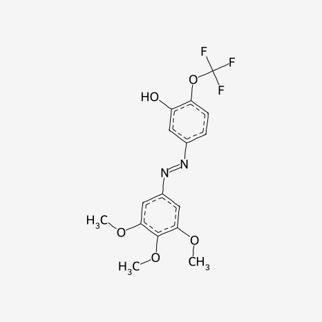 COc1cc(/N=N/c2ccc(OC(F)(F)F)c(O)c2)cc(OC)c1OC